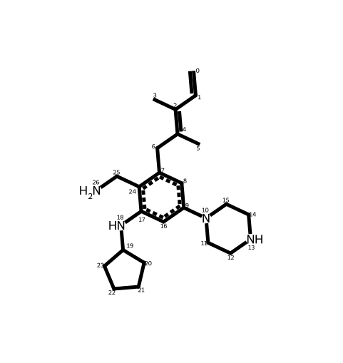 C=C/C(C)=C(\C)Cc1cc(N2CCNCC2)cc(NC2CCCC2)c1CN